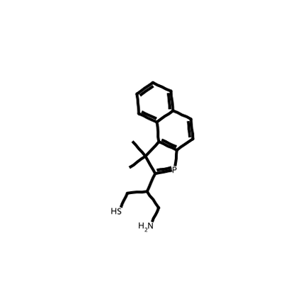 CC1(C)C(C(CN)CS)=Pc2ccc3ccccc3c21